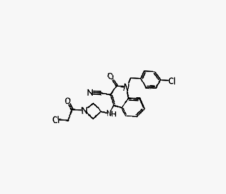 N#Cc1c(NC2CN(C(=O)CCl)C2)c2ccccc2n(Cc2ccc(Cl)cc2)c1=O